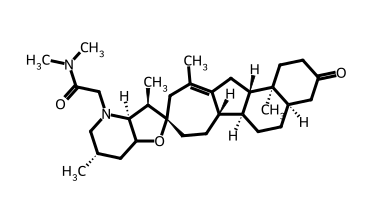 CC1=C2C[C@H]3[C@@H](CC[C@@H]4CC(=O)CC[C@@]43C)[C@@H]2CC[C@@]2(C1)OC1C[C@H](C)CN(CC(=O)N(C)C)[C@H]1[C@H]2C